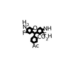 CC(=O)c1ccc(-c2c3cc(F)c(=N)cc-3oc3cc(N)c(F)cc23)c(C(=O)O)c1